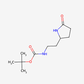 CC(C)(C)OC(=O)NCCC1CCC(=O)N1